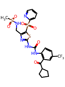 CS(=O)(=O)NCc1nc(NC(=O)Nc2ccc(C(F)(F)F)cc2C(=O)C2CCCC2)sc1S(=O)(=O)c1ccccn1